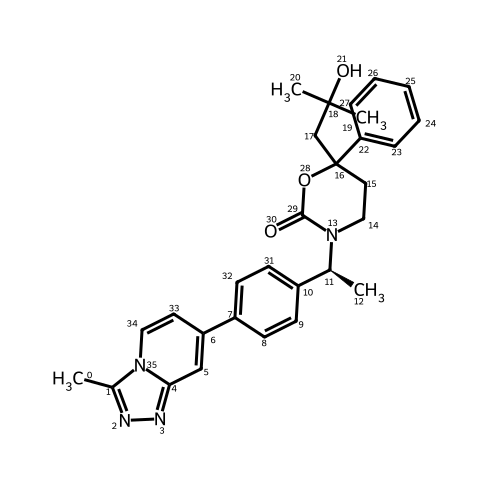 Cc1nnc2cc(-c3ccc([C@H](C)N4CCC(CC(C)(C)O)(c5ccccc5)OC4=O)cc3)ccn12